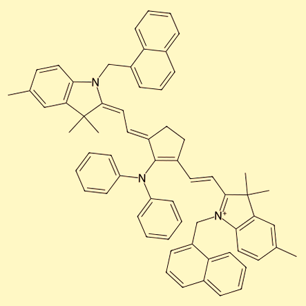 Cc1ccc2c(c1)C(C)(C)C(/C=C/C1=C(N(c3ccccc3)c3ccccc3)C(=C/C=C3/N(Cc4cccc5ccccc45)c4ccc(C)cc4C3(C)C)/CC1)=[N+]2Cc1cccc2ccccc12